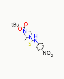 CC1CN(C(=O)OC(C)(C)C)CCN1C(=S)Nc1ccc([N+](=O)[O-])cc1